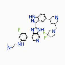 CN(C)CCNc1cc(F)cc(-c2cncc3[nH]c(-c4n[nH]c5ccc(C6C=C(CN7CCC(F)(F)C7)C=NC6)cc45)nc23)c1